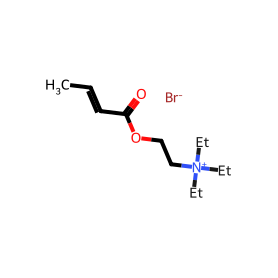 CC=CC(=O)OCC[N+](CC)(CC)CC.[Br-]